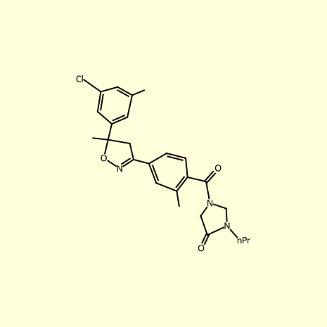 CCCN1CN(C(=O)c2ccc(C3=NOC(C)(c4cc(C)cc(Cl)c4)C3)cc2C)CC1=O